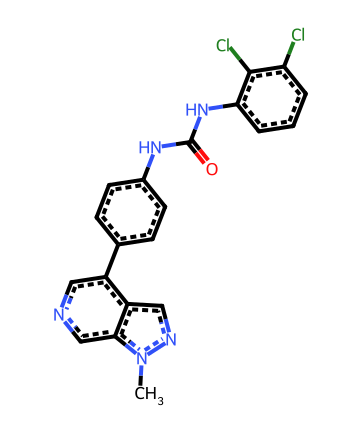 Cn1ncc2c(-c3ccc(NC(=O)Nc4cccc(Cl)c4Cl)cc3)cncc21